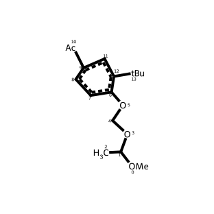 COC(C)OCOc1ccc(C(C)=O)cc1C(C)(C)C